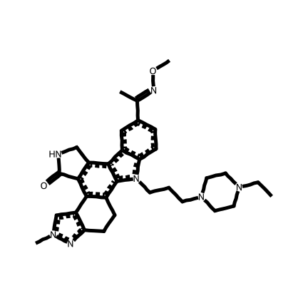 CCN1CCN(CCCn2c3ccc(/C(C)=N/OC)cc3c3c4c(c5c(c32)CCc2nn(C)cc2-5)C(=O)NC4)CC1